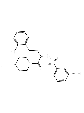 Cc1cccc(S(=O)(=O)NC(CCc2ccccc2Cl)C(=O)N2CCC(C)CC2)c1